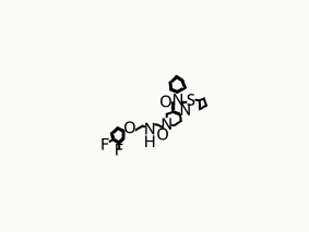 O=C(CNCCOc1ccc(F)c(F)c1)N1CCc2nc(SC3CCC3)n(-c3ccccc3)c(=O)c2C1